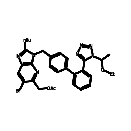 CCCCc1nc2cc(Br)c(COC(C)=O)nc2n1Cc1ccc(-c2ccccc2-c2nnnn2C(C)OCC)cc1